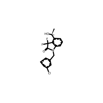 C[C@H](O)c1cccc2c1C(F)(F)C(=O)N2Cc1cccc(Cl)c1